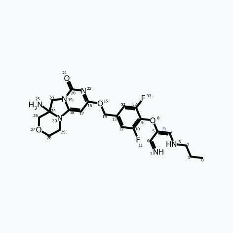 CCCN/C=C(\C=N)Oc1c(F)cc(COc2cc3n(c(=O)n2)CC2(N)COCCN32)cc1F